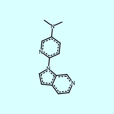 CN(C)c1ccc(-n2ccc3ccncc32)nc1